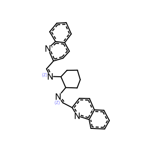 C(=N/C1CCCCC1/N=C\c1ccc2ccccc2n1)/c1ccc2ccccc2n1